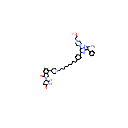 Cc1nn2c(N3CCN(CCO)CC3)cc(-c3ccc(CCCCCCCCCN4CCC(c5cc(F)cc6c5CN(C5CCC(=O)NC5=O)C6=O)CC4)cc3)nc2c1-c1ccccc1